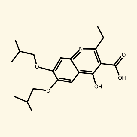 CCc1nc2cc(OCC(C)C)c(OCC(C)C)cc2c(O)c1C(=O)O